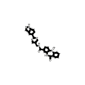 O=C(NCc1cnc(-c2ccc3[nH]ncc3c2)nc1)c1ccc2c(c1)NC(=O)c1ccccc1[S+]2[O-]